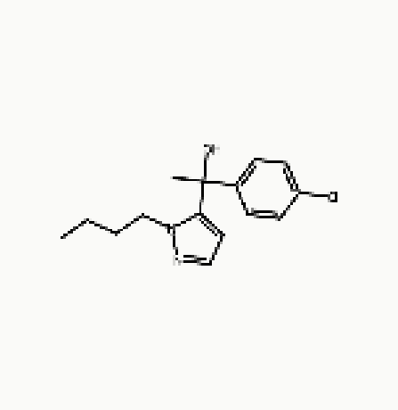 CCCCn1nccc1C(C)(O)c1ccc(Cl)cc1